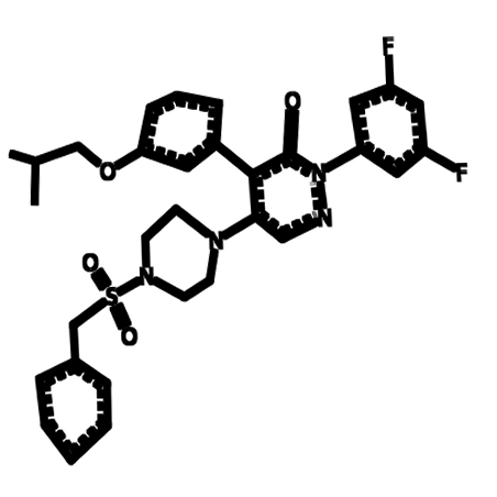 CC(C)COc1cccc(-c2c(N3CCN(S(=O)(=O)Cc4ccccc4)CC3)cnn(-c3cc(F)cc(F)c3)c2=O)c1